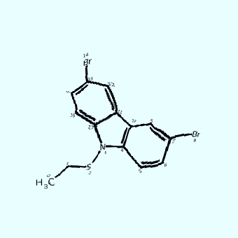 CCSn1c2ccc(Br)cc2c2cc(Br)ccc21